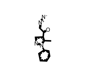 Cc1c(C(=O)C=[N+]=[N-])cnn1-c1ccccc1